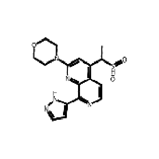 CC(c1cc(N2CCOCC2)nc2c(-c3ccn[nH]3)nccc12)[SH](=O)=O